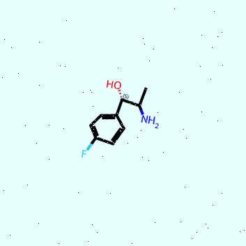 CC(N)[C@@H](O)c1ccc(F)cc1